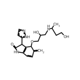 C=C1C=CC2=C(C1OCC(O)CNC(C)CCO)C(c1ccn[nH]1)C(=O)N2